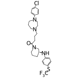 O=C(CCCN1CCCN(c2ccc(Cl)cc2)CC1)N1CCC[C@H](Nc2ccc(SC(F)(F)F)cc2)C1